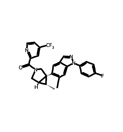 Cc1cc2c(cnn2-c2ccc(F)cc2)cc1[C@@]12CN(C(=O)c3cc(C(F)(F)F)ccn3)C[C@@H]1[C@H]2C